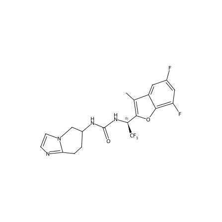 Cc1c([C@H](NC(=O)NC2CCc3nccn3C2)C(F)(F)F)oc2c(F)cc(F)cc12